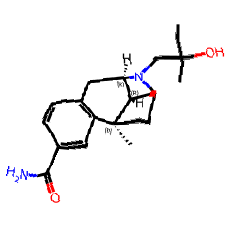 C[C@H]1[C@H]2Cc3ccc(C(N)=O)cc3[C@]1(C)CCN2CC(C)(C)O